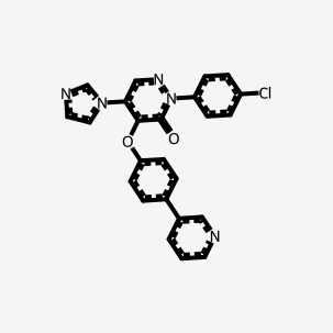 O=c1c(Oc2ccc(-c3cccnc3)cc2)c(-n2ccnc2)cnn1-c1ccc(Cl)cc1